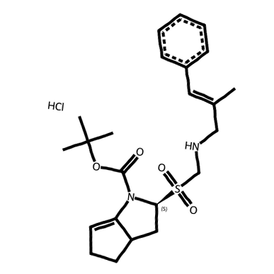 CC(=Cc1ccccc1)CNCS(=O)(=O)[C@H]1CC2CCC=C2N1C(=O)OC(C)(C)C.Cl